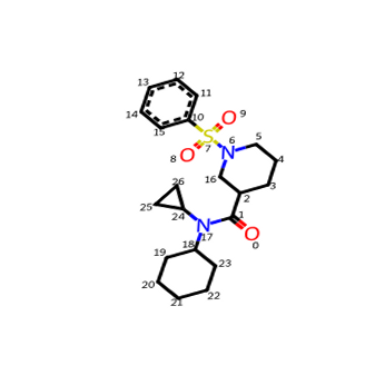 O=C(C1CCCN(S(=O)(=O)c2ccccc2)C1)N(C1CCCCC1)C1CC1